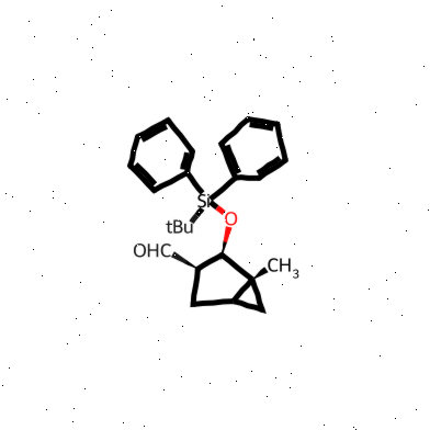 CC(C)(C)[Si](O[C@@H]1[C@H](C=O)CC2C[C@]21C)(c1ccccc1)c1ccccc1